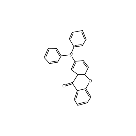 O=C1c2ccccc2OC2C=CC([S+](c3ccccc3)c3ccccc3)=CC12